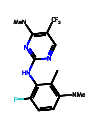 CNc1ccc(F)c(Nc2ncc(C(F)(F)F)c(NC)n2)c1C